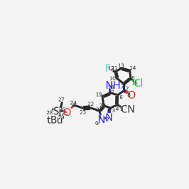 Cn1nc2c(C#N)c(C(=O)c3cc(F)ccc3Cl)c(N)cc2c1C#CCO[Si](C)(C)C(C)(C)C